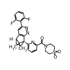 CC1(C)[C@H]2CC[C@@]1(c1cccc(C(=O)N3CCS(=O)(=O)CC3)n1)c1nnc(-c3c(F)cccc3F)cc12